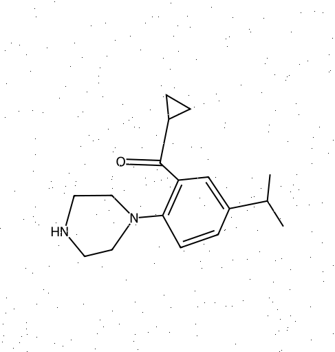 CC(C)c1ccc(N2CCNCC2)c(C(=O)C2CC2)c1